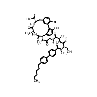 CCCCCCc1ccc(-c2ccc(C(=O)N(C)[C@H](CO)C(=O)N[C@H](C)C(=O)NCC(=O)N(C)[C@@H]3C(=O)N[C@@H](C)C(=O)N[C@H](C(=O)O)Cc4ccc(O)c(c4)-c4cc3ccc4O)cc2)cc1